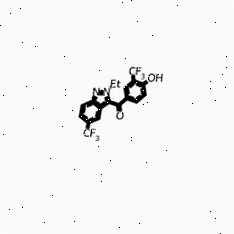 CCn1nc2ccc(C(F)(F)F)cc2c1C(=O)c1ccc(O)c(C(F)(F)F)c1